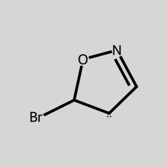 BrC1[C]C=NO1